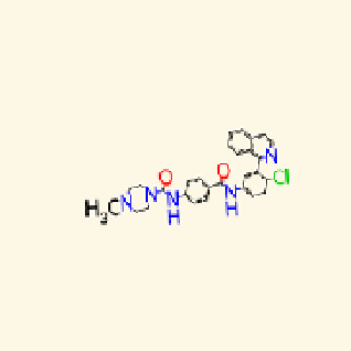 CN1CCN(C(=O)Nc2ccc(C(=O)NC3=CCC(Cl)C(c4nccc5ccccc45)=C3)cc2)CC1